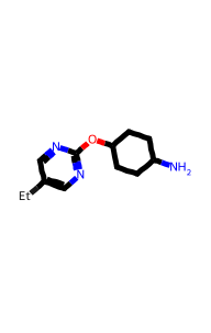 CCc1cnc(OC2CCC(N)CC2)nc1